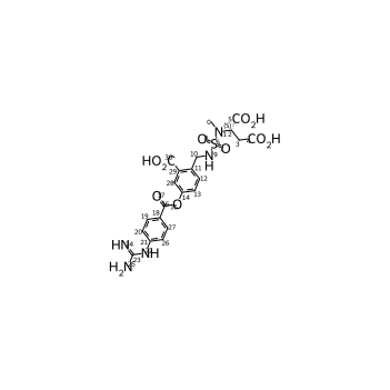 CN([C@@H](CC(=O)O)C(=O)O)S(=O)(=O)NCc1ccc(OC(=O)c2ccc(NC(=N)N)cc2)cc1C(=O)O